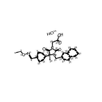 CCON=Cc1ccc([C@]2(C)C(=O)N(CC(=O)O)C(=O)N2Cc2ccc3ccccc3c2)cc1.Cl